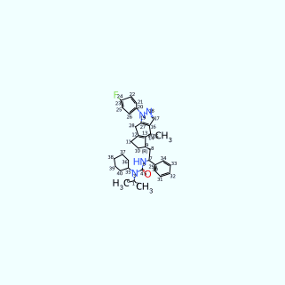 CC(C)N(C(=O)NC(C[C@H]1CCC2=C1[C@@H](C)c1cnn(-c3ccc(F)cc3)c1C2)c1ccccc1)C1CCCCC1